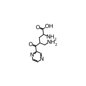 NCC(CC(N)C(=O)O)C(=O)c1cnccn1